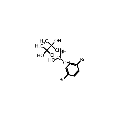 Brc1ccc(Br)cc1.CC(C)(O)C(C)(C)O.OB(O)O